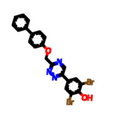 Oc1c(Br)cc(-c2cnc(COc3ccc(-c4ccccc4)cc3)nn2)cc1Br